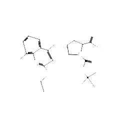 CCOc1cc(O[C@@H]2CC(C(N)=O)N(C(=O)OC(C)(C)C)C2)c2cccc(Cl)c2n1